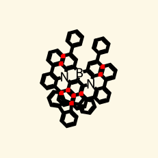 c1ccc(-c2ccc3c(c2)B2c4cc(-c5ccccc5)ccc4N(c4c(-c5ccccc5)cccc4-c4ccccc4)c4cc(C5(c6ccccc6)c6ccccc6-c6ccccc65)cc(c42)N3c2c(-c3ccccc3)cccc2-c2ccccc2)cc1